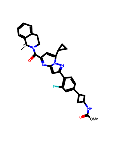 COC(=O)NC1CC(c2ccc(-c3cc4nc(C(=O)N5CCc6ccccc6[C@H]5C)cc(C5CC5)n4n3)c(F)c2)C1